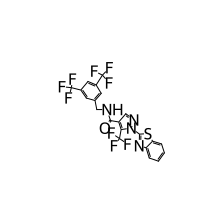 O=C(NCc1cc(C(F)(F)F)cc(C(F)(F)F)c1)c1cnn(-c2nc3ccccc3s2)c1C(F)(F)F